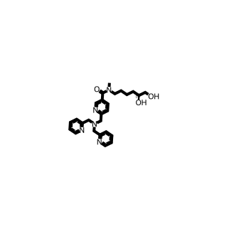 CN(CCCC[C@H](O)CO)C(=O)c1ccc(CN(Cc2ccccn2)Cc2ccccn2)nc1